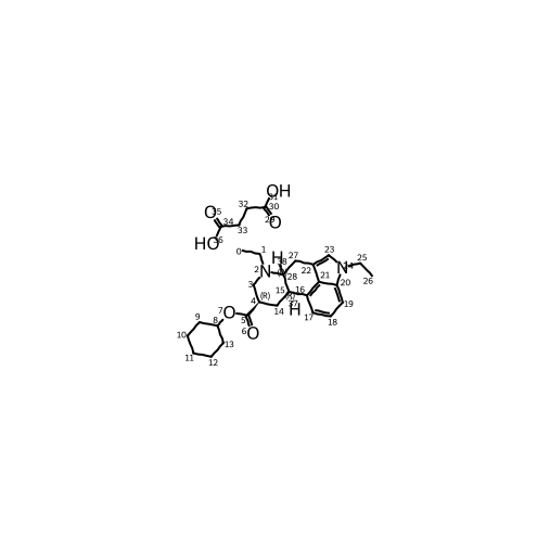 CCN1C[C@H](C(=O)OC2CCCCC2)C[C@@H]2c3cccc4c3c(cn4CC)C[C@H]21.O=C(O)CCC(=O)O